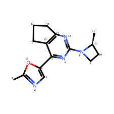 Cc1ncc(-c2nc(N3CC[C@@H]3C)nc3c2CCC3)o1